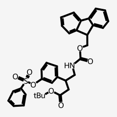 CC(C)(C)OC(=O)CC(CNC(=O)OCC1c2ccccc2-c2ccccc21)c1cccc(OS(=O)(=O)c2ccccc2)c1